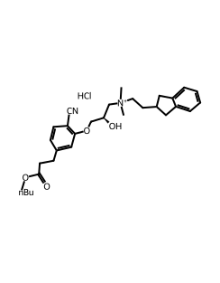 CCCCOC(=O)CCc1ccc(C#N)c(OC[C@H](O)C[N+](C)(C)CCC2Cc3ccccc3C2)c1.Cl